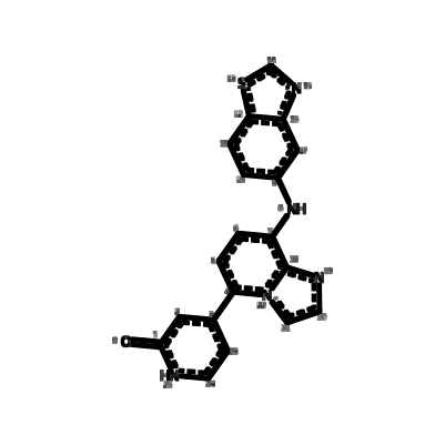 O=c1cc(-c2ccc(Nc3ccc4scnc4c3)c3nccn23)cc[nH]1